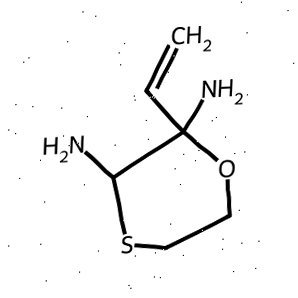 C=CC1(N)OCCSC1N